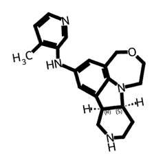 Cc1ccncc1Nc1cc2c3c(c1)[C@@H]1CNCC[C@@H]1N3CCOC2